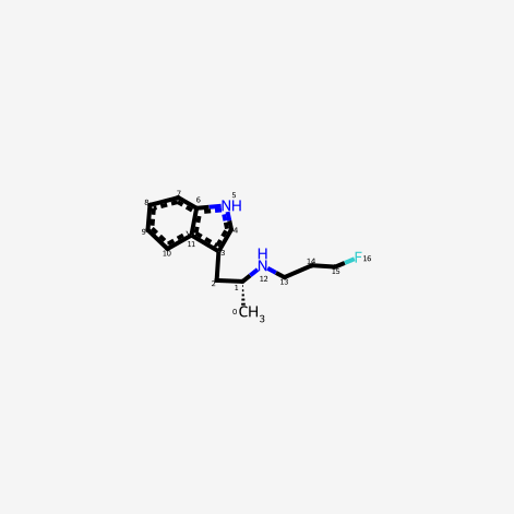 C[C@H](Cc1c[nH]c2ccccc12)NCCCF